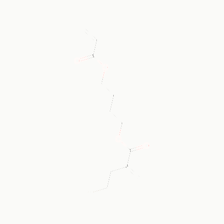 C=CC(=O)OCCCCOC(=O)C(=C)CCBr